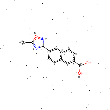 Cc1nc(-c2ccc3cc(B(O)O)ccc3c2)no1